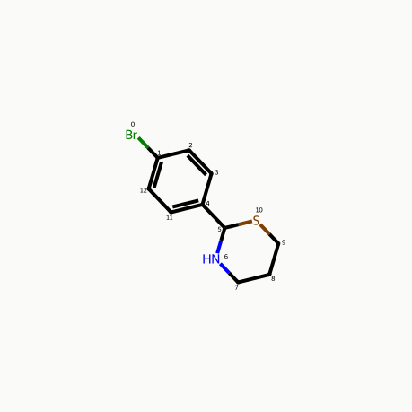 Brc1ccc(C2NCCCS2)cc1